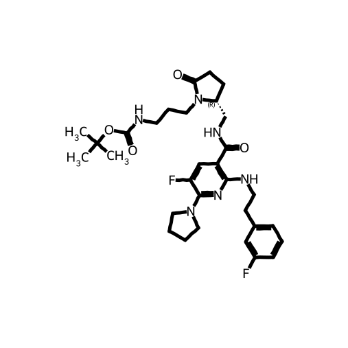 CC(C)(C)OC(=O)NCCCN1C(=O)CC[C@@H]1CNC(=O)c1cc(F)c(N2CCCC2)nc1NCCc1cccc(F)c1